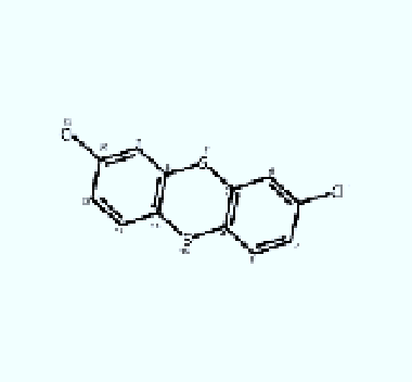 Clc1ccc2c(c1)Sc1cc(Cl)ccc1S2